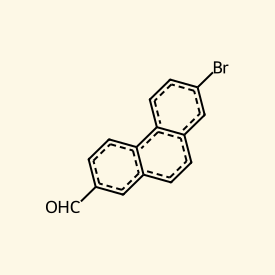 O=Cc1ccc2c(ccc3cc(Br)ccc32)c1